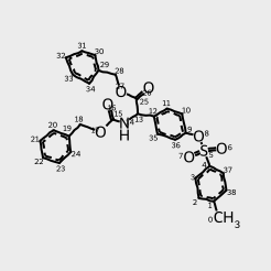 Cc1ccc(S(=O)(=O)Oc2ccc(C(NC(=O)OCc3ccccc3)C(=O)OCc3ccccc3)cc2)cc1